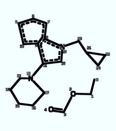 CCOC=O.c1ccc2c(c1)c(N1CCCCC1)cn2CC1CC1